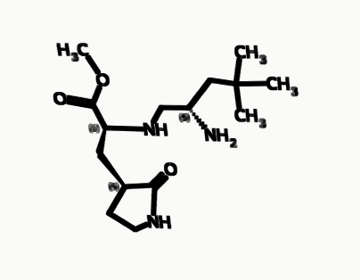 COC(=O)[C@H](C[C@@H]1CCNC1=O)NC[C@@H](N)CC(C)(C)C